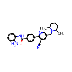 CC1CCC[C@@H](C)N1Cc1cnc(-c2ccc(C(=O)Nc3ccccc3N)cc2)c(C#N)c1